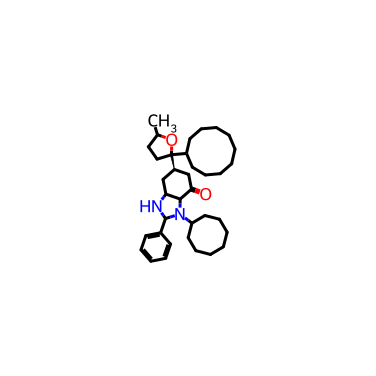 CC1CCC(C2CCCCCCCCC2)([C@H]2CC(=O)C3C(C2)NC(c2ccccc2)N3C2CCCCCCC2)O1